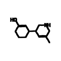 CC1=CC(C2C=C(O)CCC2)CNC1